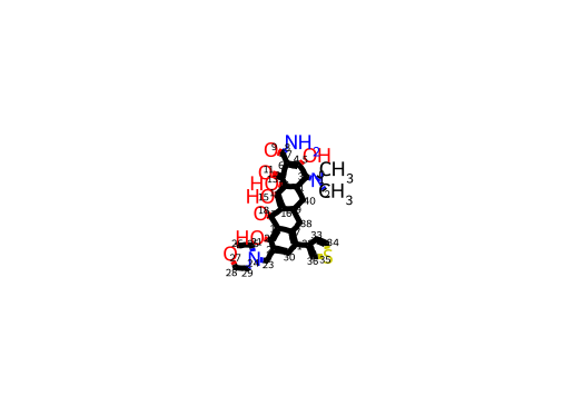 CN(C)C1C(O)=C(C(N)=O)C(=O)C2(O)C(O)=C3C(=O)c4c(O)c(CN5CCOCC5)cc(-c5ccsc5)c4CC3CC12